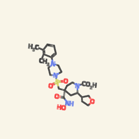 Cc1cccc(N2CCN(S(=O)(=O)CC3(C(=O)NO)CCN(C(=O)O)C(C4CCOC4)C3)CC2)c1C